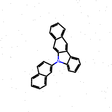 c1ccc2cc(-n3c4ccccc4c4cc5ccccc5cc43)ccc2c1